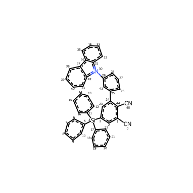 N#Cc1cc([Si](c2ccccc2)(c2ccccc2)c2ccccc2)cc(-c2cccc(-n3c4ccccc4c4ccccc43)c2)c1C#N